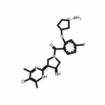 CC1=N/C(=C2\CN(C(=O)c3ccc(F)cc3OC3CC[C@H](N)C3)CC2=N)NC(C)=C1Cl